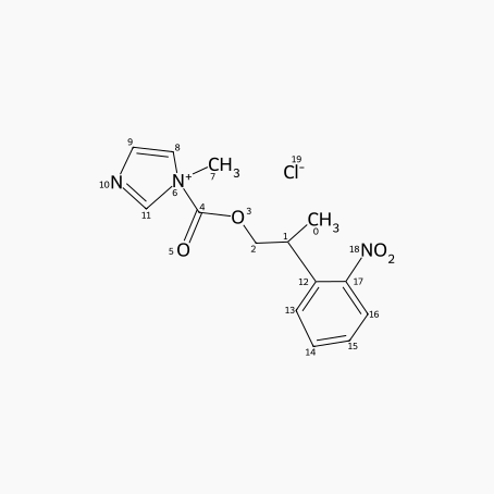 CC(COC(=O)[N+]1(C)C=CN=C1)c1ccccc1[N+](=O)[O-].[Cl-]